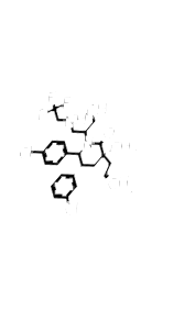 C=CC[C@@]1(C)C[C@H](c2cccc(Cl)c2)C(c2ccc(Cl)cc2)N(C(CC)CNCC(F)(F)F)C1=O